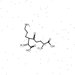 NCCCC(C(=O)CC[C@H](N)C(=O)O)[C@H](N)C(=O)O